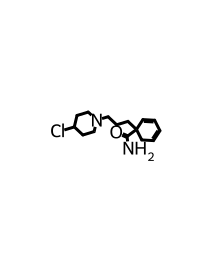 NC(=O)C1(CCCN2CCC(Cl)CC2)C=CC=CC1